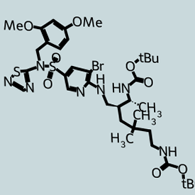 COc1ccc(CN(c2ncns2)S(=O)(=O)c2cnc(NC[C@H](CC(C)(C)CCNC(=O)OC(C)(C)C)[C@@H](C)NC(=O)OC(C)(C)C)c(Br)c2)c(OC)c1